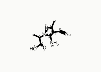 Cc1nn(C(C)C(=O)O)c(N)c1C#N